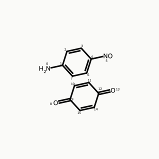 Nc1ccc(N=O)cc1.O=C1C=CC(=O)C=C1